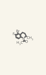 CC(=O)N1c2ccc(F)c(Br)c2CCC1C